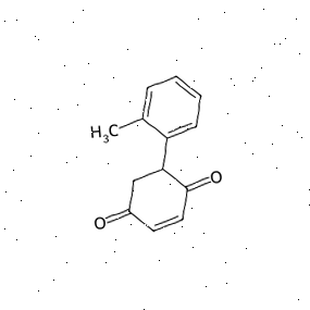 Cc1ccccc1C1CC(=O)C=CC1=O